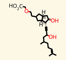 CC(C)=CCCC(C)CC(O)C#C[C@@H]1[C@@H]2CC(CCOCC(=O)O)C[C@@H]2C[C@H]1O